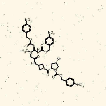 CN(CC(=O)NC1CN(C(=O)[C@@H]2C[C@H](S)CN2C(=O)OCc2ccc([N+](=O)[O-])cc2)C1)/C(=N\C(=O)OCc1ccc([N+](=O)[O-])cc1)NC(=O)OCc1ccc([N+](=O)[O-])cc1